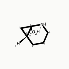 O=C(O)[C@]12C[C@H]1CCCN2